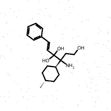 C[C@H]1CC[C@H](C(N)(CCO)C(O)(O)C=Cc2ccccc2)CC1